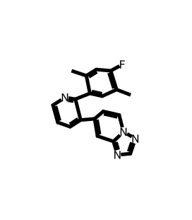 Cc1cc(-c2ncccc2-c2ccn3ncnc3c2)c(C)cc1F